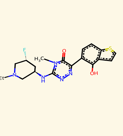 CCN1C[C@H](F)C[C@@H](Nc2nnc(-c3ccc4sccc4c3O)c(=O)n2C)C1